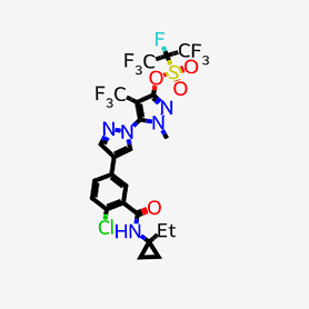 CCC1(NC(=O)c2cc(-c3cnn(-c4c(C(F)(F)F)c(OS(=O)(=O)C(F)(C(F)(F)F)C(F)(F)F)nn4C)c3)ccc2Cl)CC1